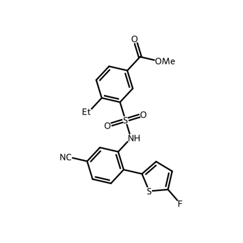 CCc1ccc(C(=O)OC)cc1S(=O)(=O)Nc1cc(C#N)ccc1-c1ccc(F)s1